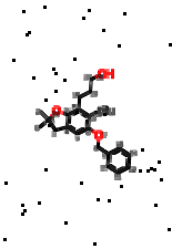 CC1(C)Cc2cc(OCc3ccccc3)c(C(C)(C)C)c(CCCO)c2O1